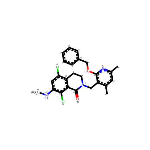 Cc1cc(C)c(CN2CCc3c(Cl)cc(NC(=O)O)c(Cl)c3C2=O)c(OCc2ccccc2)n1